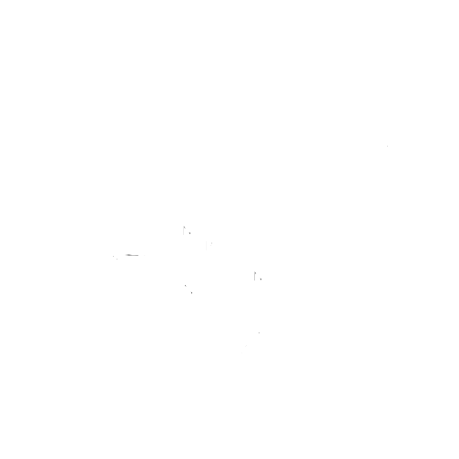 CC(C)(C)c1cc2ccc3c4c5c(c6ccc(c1)c2c36)N(c1ccccc1C(C)(C)C)c1c(n(-c2ccccc2)c2ccccc12)B5n1c2ccc(C(C)(C)C)cc2c2cc(C(C)(C)C)cc-4c21